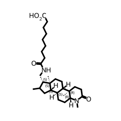 CC1C[C@H]2[C@@H]3CC[C@H]4N(C)C(=O)CC[C@]4(C)[C@H]3CC[C@]2(C)[C@H]1CNC(=O)CCCCCCCC(=O)O